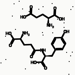 N[C@@H](CCC(=O)N[C@@H](Cc1ccc(O)cc1)C(=O)O)C(=O)O.N[C@@H](CCC(=O)O)C(=O)O